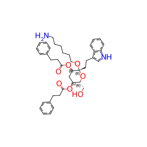 NCCCCCCO[C@]1(CCc2c[nH]c3ccccc23)O[C@H](CO)[C@@H](OC(=O)CCc2ccccc2)C[C@H]1OC(=O)CCc1ccccc1